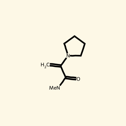 C=C(C(=O)NC)N1CCCC1